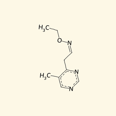 CCO/N=C\Cc1ncncc1C